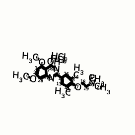 COc1cc(OC)c2c(=O)[nH]c(-c3cc(C)c(OCCN(C)C)c(C)c3)nc2c1.Cl.Cl